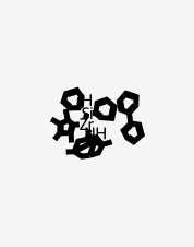 CC1=C(C)C(C)[C]([Zr]([NH]C23CC4CC(C)(CC(C)(C4)C2)C3)[SiH](c2ccccc2)c2ccccc2)=C1C.c1ccc(-c2ccccc2)cc1